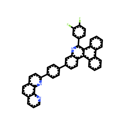 Fc1ccc(-c2nc3cc(-c4ccc(-c5ccc6ccc7cccnc7c6n5)cc4)ccc3c3c4ccccc4c4ccccc4c23)cc1F